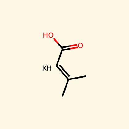 CC(C)=CC(=O)O.[KH]